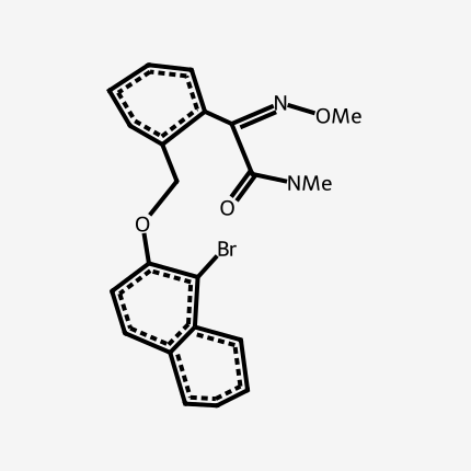 CNC(=O)/C(=N\OC)c1ccccc1COc1ccc2ccccc2c1Br